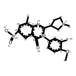 COc1ccc(-n2c(C3CCN(C)C3)nc3c(C)cc([N+](=O)[O-])cc3c2=O)cc1F